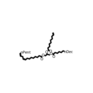 C=CCCCCCCCC(=O)OC(COC(=O)CCCCCCC/C=C\C/C=C\CCCCC)COC(=O)CCCCCCCCCCCCCCC